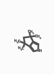 CC1(C)CC(C)(C)c2c[nH]cc21